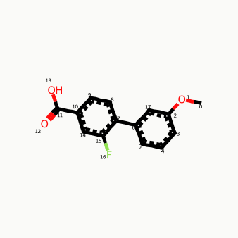 COc1cccc(-c2ccc(C(=O)O)cc2F)c1